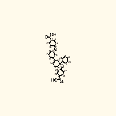 O=C(O)c1ccc(Oc2cccc(C3=CC=CC(Oc4ccc(C(=O)O)cc4)(c4ccccc4)C3)c2)cc1